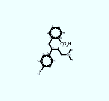 CN(C)CCC(Cc1ccccc1C(=O)O)c1ccc(F)cc1